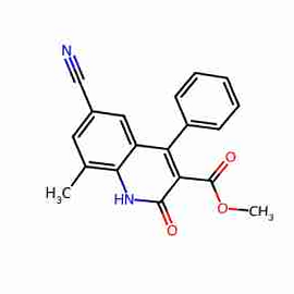 COC(=O)c1c(-c2ccccc2)c2cc(C#N)cc(C)c2[nH]c1=O